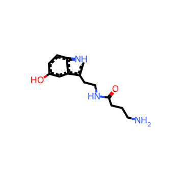 NCCCC(=O)NCCc1c[nH]c2ccc(O)cc12